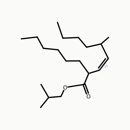 CCCCCCC(/C=C\C(C)CCCC)C(=O)OCC(C)C